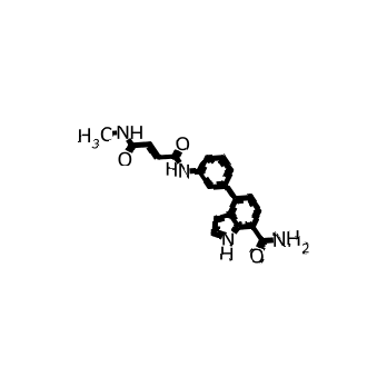 CNC(=O)C=CC(=O)Nc1cccc(-c2ccc(C(N)=O)c3[nH]ccc23)c1